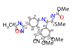 COC(=O)N=C(SC)C(=Nc1ccc(-c2noc(C)n2)cc1)c1cc(CC#N)c(OC)c(OC)c1